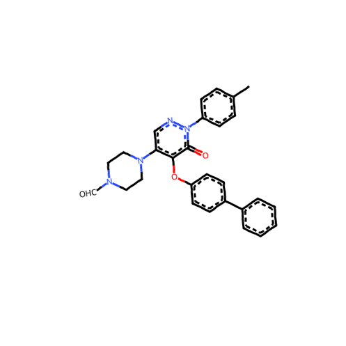 Cc1ccc(-n2ncc(N3CCN(C=O)CC3)c(Oc3ccc(-c4ccccc4)cc3)c2=O)cc1